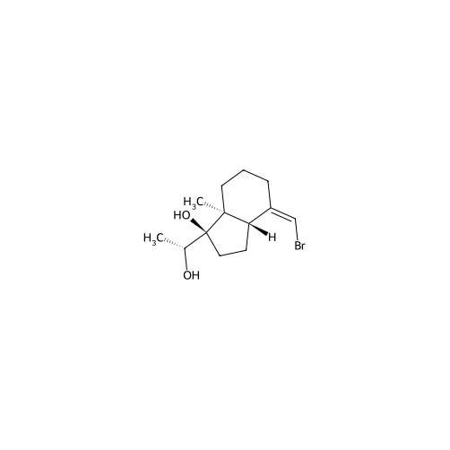 C[C@@H](O)[C@@]1(O)CC[C@H]2/C(=C\Br)CCC[C@@]21C